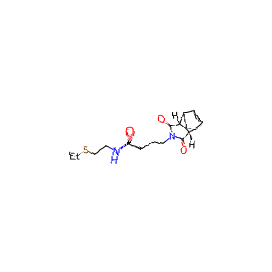 CCSCCNC(=O)CCCN1C(=O)[C@@H]2C3C=CC(C3)[C@@H]2C1=O